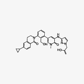 C=C(O)Cn1ccc(Nc2cc(-c3cccc(N4CCc5cc(C6CC6)ccc5C4=O)c3CO)cn(C)c2=O)n1